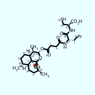 CC(C)C[C@H](NC(=O)CCC(=O)O[C@@H]1O[C@@H]2O[C@@]3(C)CC[C@H]4[C@H](C)CC[C@@H]([C@H]1C)[C@@]24OO3)C(=O)N[C@@H](CS)C(=O)O